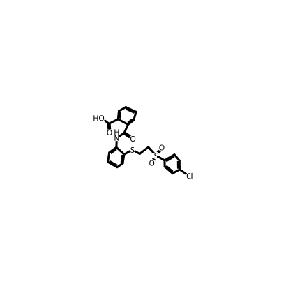 O=C(O)c1ccccc1C(=O)Nc1ccccc1SCCS(=O)(=O)c1ccc(Cl)cc1